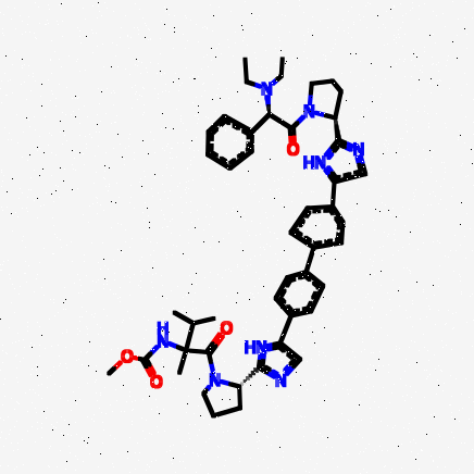 CCN(CC)[C@@H](C(=O)N1CCC[C@H]1c1ncc(-c2ccc(-c3ccc(-c4cnc([C@@H]5CCCN5C(=O)C(C)(NC(=O)OC)C(C)C)[nH]4)cc3)cc2)[nH]1)c1ccccc1